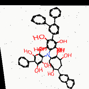 C\C(O)=C(/C(O)=C(O)\C(=C(/C)O)c1ccccc1)N(C1=C(O)C(O)CC(c2ccc3ccccc3c2)C(O)=C1)c1c(O)c(O)c(-c2ccc(-c3ccccc3)c(-c3ccccc3)c2)c(O)c1O